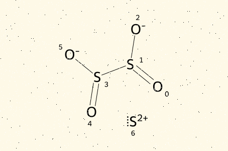 O=S([O-])S(=O)[O-].[S+2]